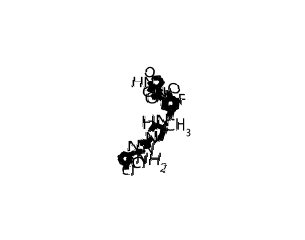 CC1(NCc2cc(F)c3c(c2)C(=O)N(C2CCC(=O)NC2=O)C3=O)CCN(c2cnc(-c3cccc(Cl)c3Cl)c(N)n2)CC1